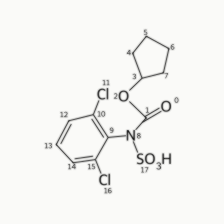 O=C(OC1CCCC1)N(c1c(Cl)cccc1Cl)S(=O)(=O)O